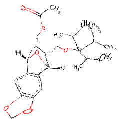 CC(=O)OC[C@@H]1[C@H](CO[Si](C(C)C)(C(C)C)C(C)C)[C@H]2O[C@@H]1c1cc3c(cc12)OCO3